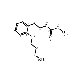 COCCOc1ccccc1CCOC(=O)OC